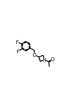 CC(=O)N1CC(OCc2ccc(F)c(F)c2)C1